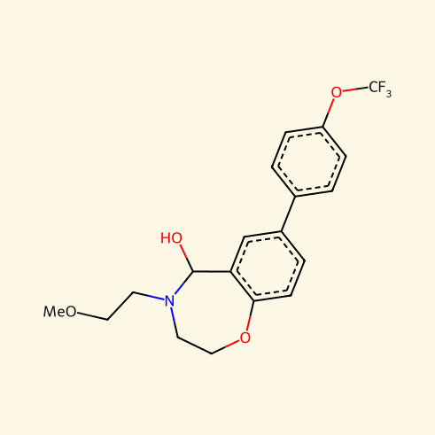 COCCN1CCOc2ccc(-c3ccc(OC(F)(F)F)cc3)cc2C1O